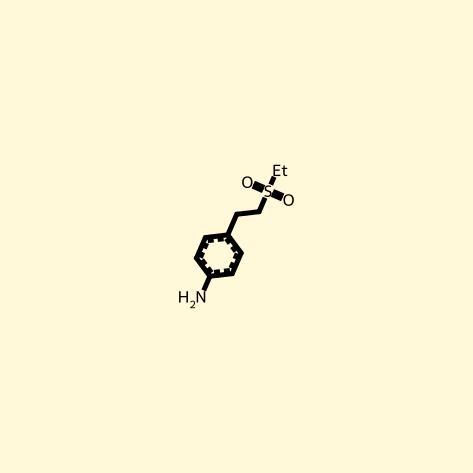 CCS(=O)(=O)CCc1ccc(N)cc1